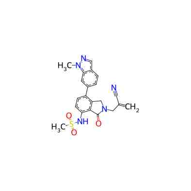 C=C(C#N)CN1Cc2c(-c3ccc4cnn(C)c4c3)ccc(NS(C)(=O)=O)c2C1=O